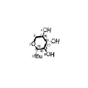 CC(C)(C)[C@@H]1OC[C@@H](O)[C@H](O)[C@H]1O